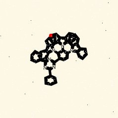 c1ccc(-c2nc(-c3ccccc3)nc(-c3ccc(-n4c5ccccc5c5ccccc54)c(-n4c5ccccc5c5ccccc54)c3-n3c4ccccc4c4ccccc43)n2)cc1